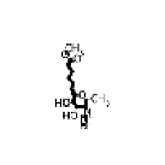 COC(=O)CCCCC[C]1O[C@H](C)[C@@H](N=[N+]=[N-])[C@H](O)[C@@H]1O